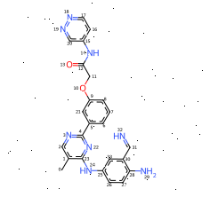 Cc1cnc(-c2cccc(OCC(=O)Nc3ccnnc3)c2)nc1Nc1ccc(N)c(C=N)c1